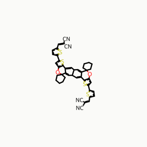 N#CC(C#N)=Cc1ccc(-c2cc3c(s2)C2=CC4C=C5C(=CC4C=C2C2(CCCCC2)O3)c2sc(-c3ccc(C=C(C#N)C#N)s3)cc2OC52CCCCC2)s1